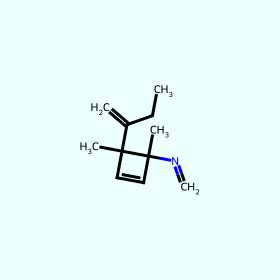 C=NC1(C)C=CC1(C)C(=C)CC